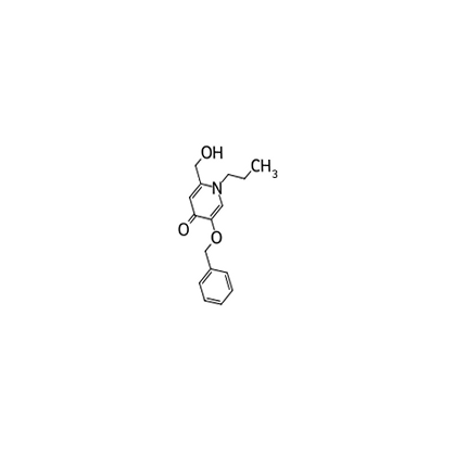 CCCn1cc(OCc2ccccc2)c(=O)cc1CO